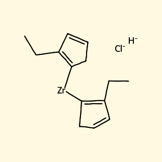 CCC1=[C]([Zr][C]2=C(CC)C=CC2)CC=C1.[Cl-].[H-]